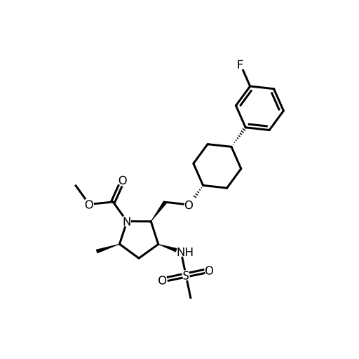 COC(=O)N1[C@H](C)C[C@H](NS(C)(=O)=O)[C@@H]1CO[C@H]1CC[C@@H](c2cccc(F)c2)CC1